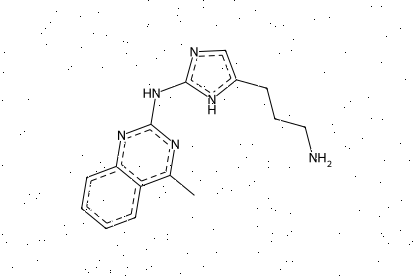 Cc1nc(Nc2ncc(CCCN)[nH]2)nc2ccccc12